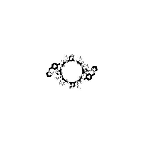 CC(C)CC1C(=O)O[C@H](C)C(=O)N(C)[C@@H](CC(C)C)C(=O)O[C@H](Cc2ccc(Cn3cccn3)cc2)C(=O)N(C)[C@@H](CC(C)C)C(=O)O[C@H](C)C(=O)N(C)[C@@H](CC(C)C)C(=O)O[C@H](Cc2ccc(Cn3cccn3)cc2)C(=O)N1C